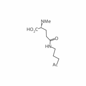 CN[C@@H](CCC(=O)NCCCC(C)=O)C(=O)O